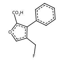 O=C(O)c1occ(CF)c1-c1ccccc1